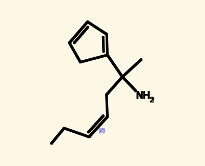 CC/C=C\CC(C)(N)C1=CC=CC1